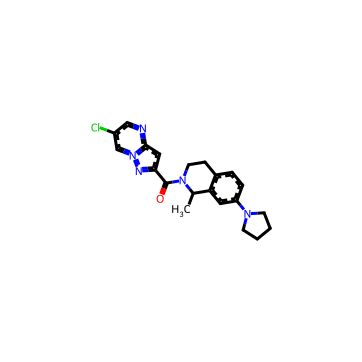 CC1c2cc(N3CCCC3)ccc2CCN1C(=O)c1cc2ncc(Cl)cn2n1